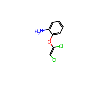 Nc1ccccc1OC(Cl)=CCl